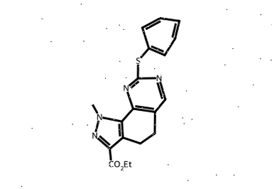 CCOC(=O)c1nn(C)c2c1CCc1cnc(Sc3ccccc3)nc1-2